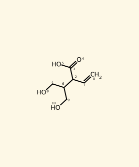 C=CC(C(=O)O)C(CO)CO